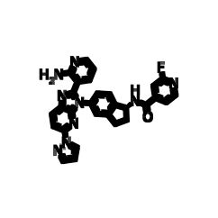 Nc1ncccc1-c1nc2ccc(-n3cccn3)nc2n1-c1ccc2c(c1)CC[C@@H]2NC(=O)c1ccnc(F)c1